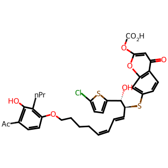 CCCc1c(OCCCC/C=C\C=C\[C@H](Sc2ccc3c(=O)cc(OC(=O)O)oc3c2)[C@@H](O)c2ccc(Cl)s2)ccc(C(C)=O)c1O